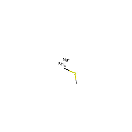 CSC.[BH4-].[Na+]